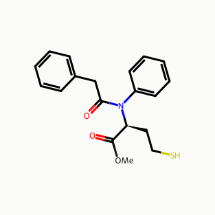 COC(=O)[C@H](CCS)N(C(=O)Cc1ccccc1)c1ccccc1